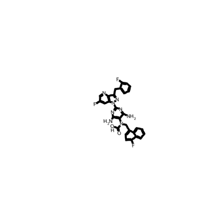 Nc1nc(-n2nc(Cc3ccccc3F)c3ncc(F)cc32)nc(N)c1N(Cc1ccc(F)c2ccccc12)C(=O)O